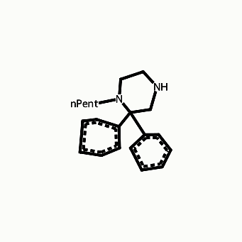 CCCCCN1CCNCC1(c1ccccc1)c1ccccc1